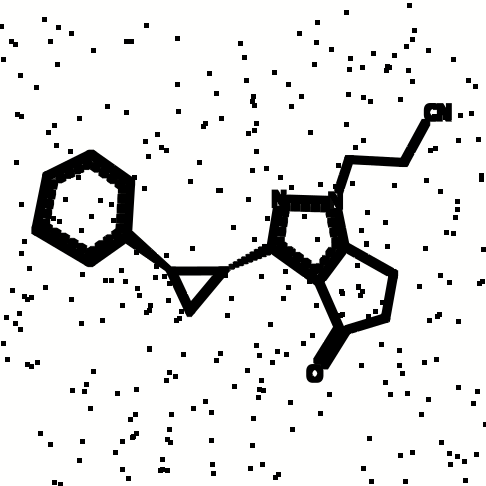 N#CCCn1nc([C@@H]2C[C@H]2c2ccccc2)c2c1CCC2=O